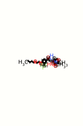 CCCCCOCCOc1ccc(C(=O)CNC(=O)C2(C)COC(C)(C)N2C(=O)O)cc1C(F)(F)F